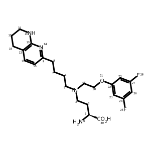 N[C@@H](CCN(CCCCc1ccc2c(n1)NCCC2)CCOc1cc(F)cc(F)c1)C(=O)O